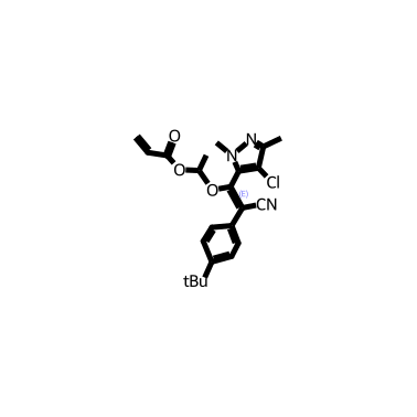 C=CC(=O)OC(C)O/C(=C(/C#N)c1ccc(C(C)(C)C)cc1)c1c(Cl)c(C)nn1C